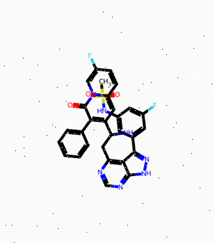 CS(=O)(=O)Nc1cc(F)cc(-c2n[nH]c3ncnc(CC(N)c4cc5ccc(F)cn5c(=O)c4-c4ccccc4)c23)c1